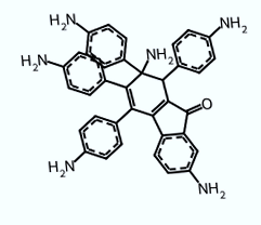 Nc1ccc(C2=C(c3ccc(N)cc3)C(N)(c3ccc(N)cc3)C(c3ccc(N)cc3)C3=C2c2ccc(N)cc2C3=O)cc1